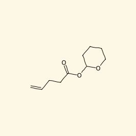 C=CCCC(=O)OC1CCCCO1